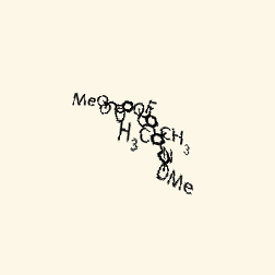 COC(=O)CC1COc2cc(O[C@@H]3CCc4c(-c5c(C)cc(-c6ccc(OC)cn6)cc5C)ccc(F)c43)ccc21